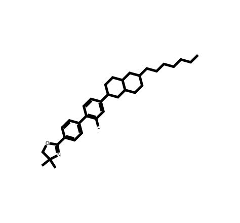 CCCCCCCC1CCC2CC(c3ccc(-c4ccc(C5=NC(C)(C)CO5)cc4)c(F)c3)CCC2C1